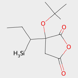 CCC([SiH3])C1(OC(C)(C)C)CC(=O)OC1=O